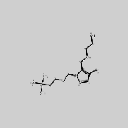 C[Si](C)(C)CCOCn1ncc(Br)c1COCCO